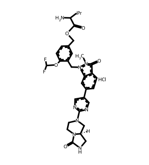 CC(C)C(N)C(=O)OCc1ccc(OC(F)F)c(Cn2c3cc(-c4cnc(N5CCN6C(=O)NC[C@@H]6C5)nc4)ccc3c(=O)n2C)c1.Cl